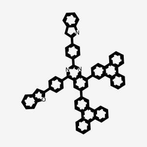 c1ccc2c(c1)CC(c1ccc(-c3nc(-c4ccc(-c5cc6ccccc6o5)cc4)c4cc(-c5ccc6c7ccccc7c7ccccc7c6c5)cc(-c5ccc6c7ccccc7c7ccccc7c6c5)c4n3)cc1)=N2